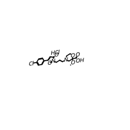 COC1(C(=O)O)CN(CCCn2oc(-c3ccc(Cl)cc3)cc2=O)CCO1.Cl